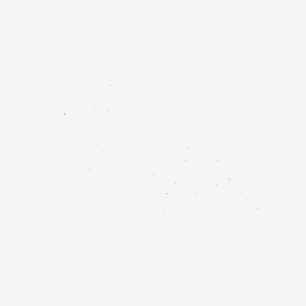 c1ccc(-n2c3ccc4ccccc4c3c3c4ccccc4c(-c4ccc(-c5c6ccccc6c(-c6ccc7ccccc7c6)c6ccccc56)cc4)cc32)cc1